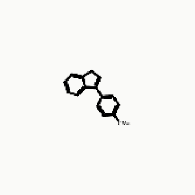 COc1ccc(C2=C[CH]c3ccccc32)cc1